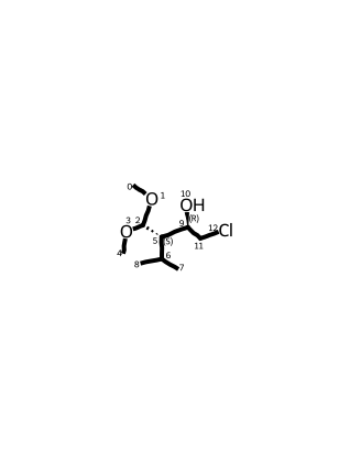 COC(OC)[C@@H](C(C)C)[C@@H](O)CCl